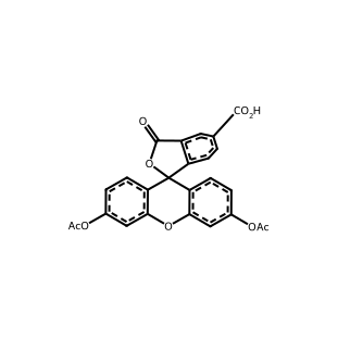 CC(=O)Oc1ccc2c(c1)Oc1cc(OC(C)=O)ccc1C21OC(=O)c2cc(C(=O)O)ccc21